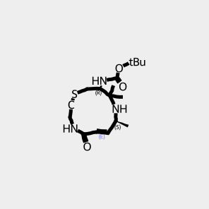 C[C@H]1/C=C/C(=O)NCCSC[C@H](NC(=O)OC(C)(C)C)C(C)(C)N1